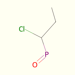 CCC(Cl)P=O